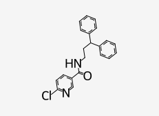 O=C(NCCC(c1ccccc1)c1ccccc1)c1ccc(Cl)nc1